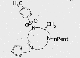 C=C1CN(CCCCC)CCCN(Cc2ccccc2)CCCN(S(=O)(=O)c2ccc(C)cc2)C1